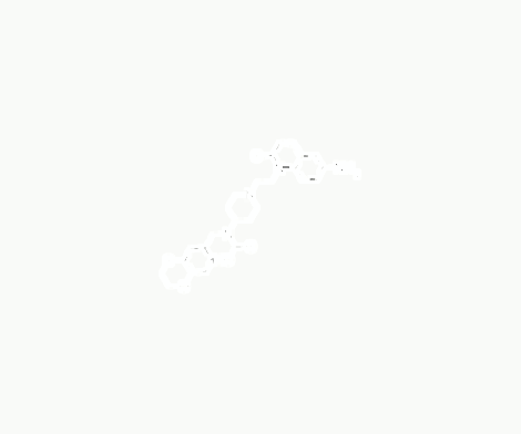 Nc1ccc2c(ccc(=O)n2CCN2CCC(N(Cc3ccc4c(c3)OCCO4)C(=O)O)CC2)c1